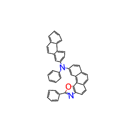 c1ccc(-c2nc3ccc4ccc5ccc(N(c6ccccc6)c6ccc7c(ccc8ccccc87)c6)cc5c4c3o2)cc1